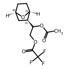 CC(=O)OC(COC(=O)C(F)(F)F)[C@H]1C[C@H]2CC[C@@H]1O2